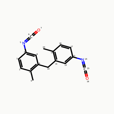 Cc1ccc(N=C=O)cc1Cc1cc(N=C=O)ccc1C